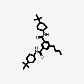 CCCCc1cc(C(=O)NC2CCC(C(C)(C)C)CC2)cc(C(=O)NC2CCC(C(C)(C)C)CC2)c1